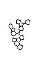 c1ccc(-n2c3ccccc3c3cc(N(c4cccc5c4-c4cccc6cc7ccccc7c-5c46)c4cccc5c4oc4ccccc45)ccc32)cc1